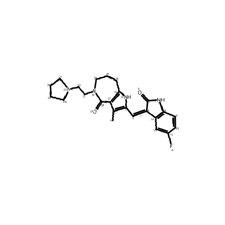 Cc1c(/C=C2\C(=O)Nc3ccc(F)cc32)[nH]c2c1C(=O)N(CCN1CCCC1)CCC2